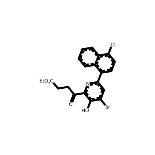 CCOC(=O)CCC(=O)c1nc(-c2ccc(Cl)c3ccccc23)cc(Br)c1O